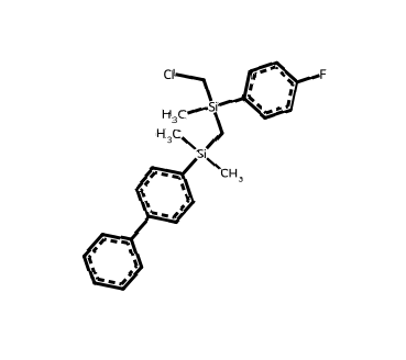 C[Si](C)(C[Si](C)(CCl)c1ccc(F)cc1)c1ccc(-c2ccccc2)cc1